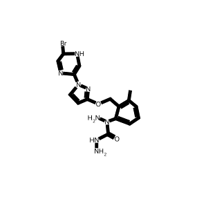 Cc1cccc(N(N)C(=O)NN)c1COc1ccn(C2=CNC(Br)C=N2)n1